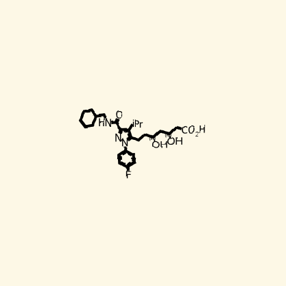 CC(C)c1c(C(=O)NCC2CCCCC2)nn(-c2ccc(F)cc2)c1CC[C@@H](O)C[C@@H](O)CC(=O)O